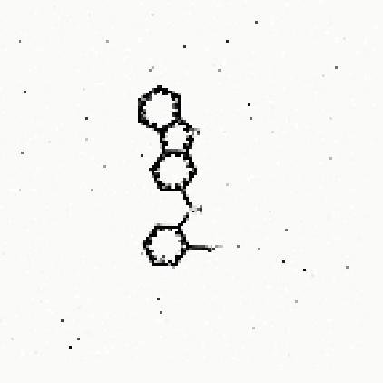 CC(C)c1ccccc1Nc1ccc2c(c1)oc1ccccc12